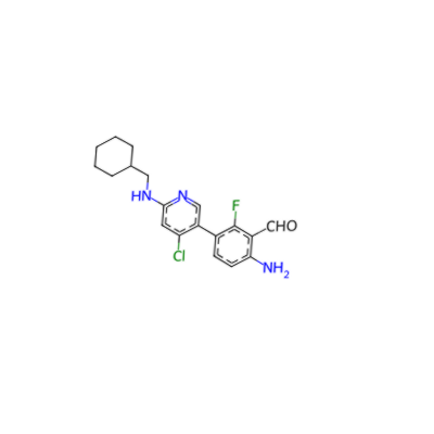 Nc1ccc(-c2cnc(NCC3CCCCC3)cc2Cl)c(F)c1C=O